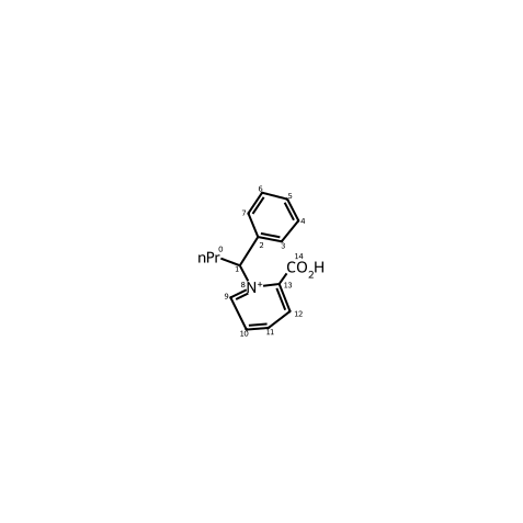 CCCC(c1ccccc1)[n+]1ccccc1C(=O)O